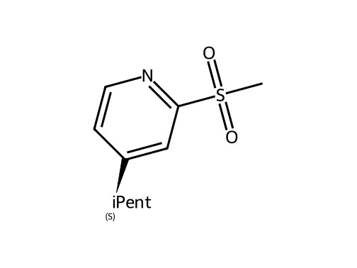 CCC[C@H](C)c1ccnc(S(C)(=O)=O)c1